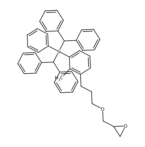 Cc1c(CCCOCC2CO2)cccc1[Si](c1ccccc1)(C(c1ccccc1)c1ccccc1)C(c1ccccc1)c1ccccc1